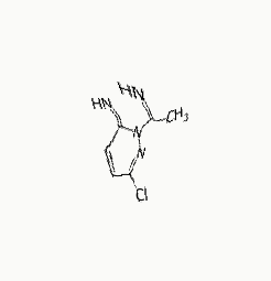 CC(=N)n1nc(Cl)ccc1=N